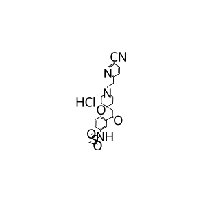 CS(=O)(=O)Nc1ccc2c(c1)C(=O)CC1(CCN(CCc3ccc(C#N)cn3)CC1)O2.Cl